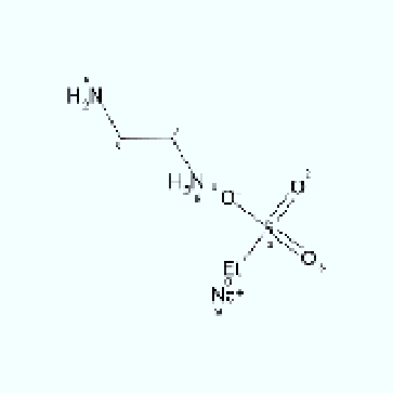 CCS(=O)(=O)[O-].NCCN.[Na+]